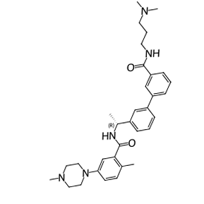 Cc1ccc(N2CCN(C)CC2)cc1C(=O)N[C@H](C)c1cccc(-c2cccc(C(=O)NCCCN(C)C)c2)c1